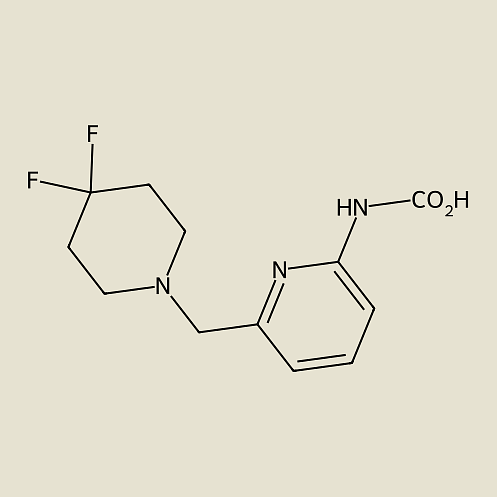 O=C(O)Nc1cccc(CN2CCC(F)(F)CC2)n1